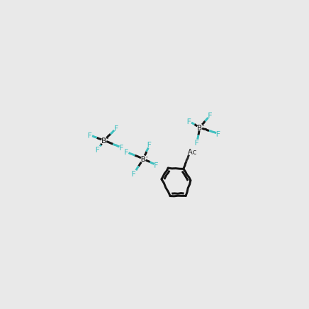 CC(=O)c1ccccc1.F[B-](F)(F)F.F[B-](F)(F)F.F[B-](F)(F)F